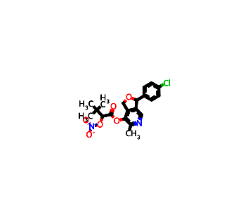 Cc1ncc2c(c1OC(=O)C(O[N+](=O)[O-])C(C)(C)C)COC2c1ccc(Cl)cc1